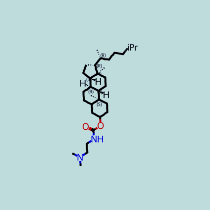 CC(C)CCC[C@@H](C)[C@H]1CC[C@H]2[C@@H]3CCC4CC(OC(=O)NCCN(C)C)CC[C@]4(C)[C@H]3CC[C@]12C